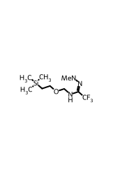 CN/N=C(\NCOCC[Si](C)(C)C)C(F)(F)F